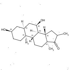 CC1C[C@H]2[C@@H]3[C@H](O)C[C@@H]4C[C@H](O)CC[C@]4(C)[C@H]3CC[C@]2(C)C1=O